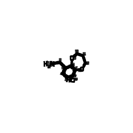 Cl.NCc1cccc2c1OCCCO2